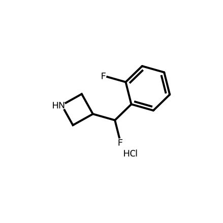 Cl.Fc1ccccc1C(F)C1CNC1